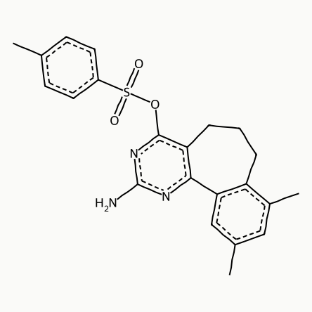 Cc1ccc(S(=O)(=O)Oc2nc(N)nc3c2CCCc2c(C)cc(C)cc2-3)cc1